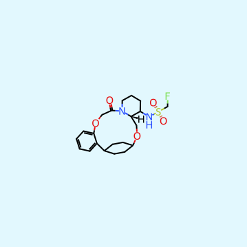 O=C1COc2ccccc2C2CCC(CC2)OC[C@H]2C(NS(=O)(=O)CF)CCCN12